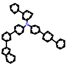 c1ccc(-c2ccc(-c3ccc(N(c4ccc(-c5cccc(-c6ccc7ccccc7c6)c5)cc4)c4cccc(-c5ccccc5)c4)cc3)cc2)cc1